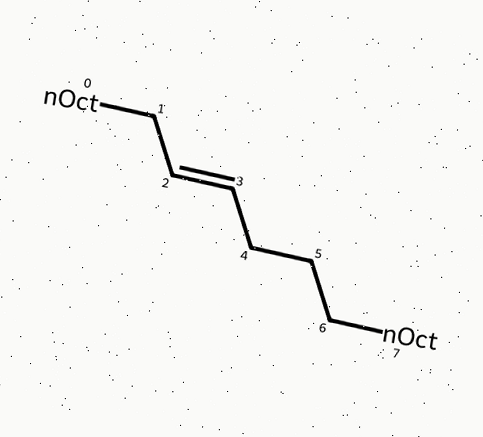 [CH2]CCCCCCCCC=CCCCCCCCCCCC